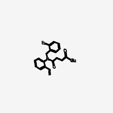 C=Cc1ccccc1N(Cc1ccccc1CC)C(=O)CCC(=O)C(C)(C)C